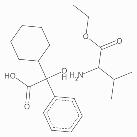 CCOC(=O)C(N)C(C)C.O=C(O)C(O)(c1ccccc1)C1CCCCC1